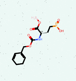 BOC(=O)[C@H](CC[PH](=O)O)NC(=O)OCC1=CCCC=C1